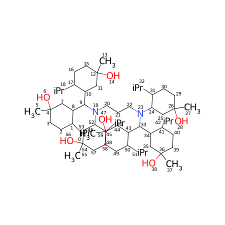 CC(C)C1CCC(C)(O)CC1C(C1CC(C)(O)CCC1C(C)C)N(CCCN(C1CC(C)(O)CCC1C(C)C)C(C1CC(C)(O)CCC1C(C)C)C1CC(C)(O)CCC1C(C)C)C1CC(C)(O)CCC1C(C)C